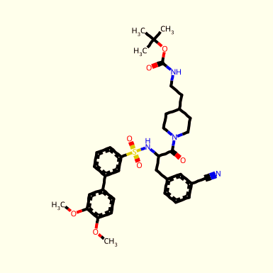 COc1ccc(-c2cccc(S(=O)(=O)NC(Cc3cccc(C#N)c3)C(=O)N3CCC(CCNC(=O)OC(C)(C)C)CC3)c2)cc1OC